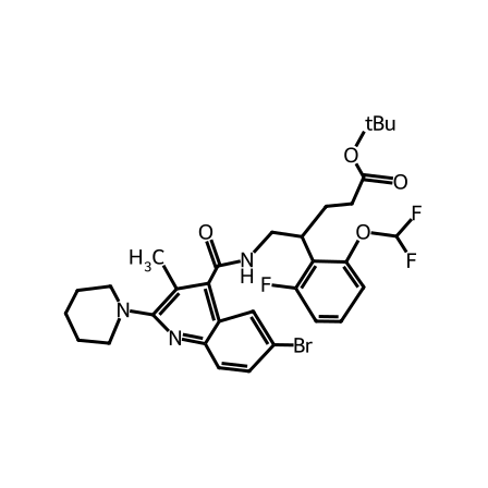 Cc1c(N2CCCCC2)nc2ccc(Br)cc2c1C(=O)NCC(CCC(=O)OC(C)(C)C)c1c(F)cccc1OC(F)F